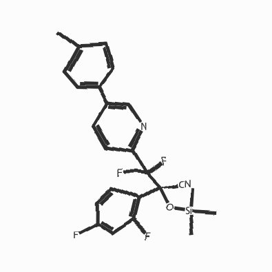 Cc1ccc(-c2ccc(C(F)(F)[C@](C#N)(O[Si](C)(C)C)c3ccc(F)cc3F)nc2)cc1